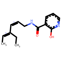 C/C=C(/C=C\CNC(=O)c1cccnc1O)CC